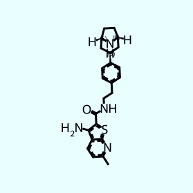 Cc1ccc2c(N)c(C(=O)NCCc3ccc([C@@H]4C[C@H]5CC[C@@H](C4)N5)cc3)sc2n1